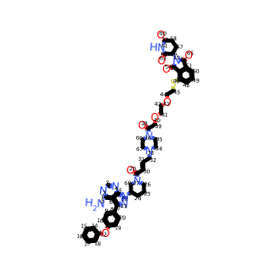 Nc1ncnc2c1c(-c1ccc(Oc3ccccc3)cc1)nn2C1CCCN(C(=O)/C=C/CN2CCN(C(=O)COCCOCCSc3cccc4c3C(=O)N(C3CCC(=O)NC3=O)C4=O)CC2)C1